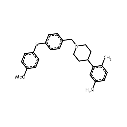 COc1ccc(Sc2ccc(CN3CCC(c4cc(N)ccc4C)CC3)cc2)cc1